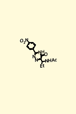 CCC(NC(C)=O)c1nnc(-c2ccc([N+](=O)[O-])cc2)[nH]c1=O